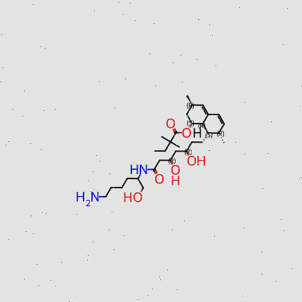 CCC(C)(C)C(=O)O[C@H]1C[C@@H](C)C=C2C=C[C@H](C)[C@H](CC[C@@H](O)C[C@@H](O)CC(=O)NC(CO)CCCCN)[C@H]21